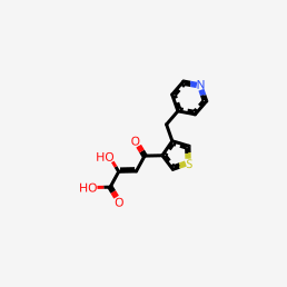 O=C(O)C(O)=CC(=O)c1cscc1Cc1ccncc1